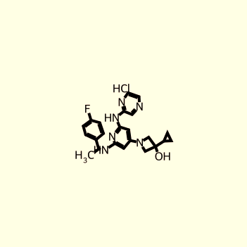 CC(Nc1cc(N2CC(O)(C3CC3)C2)cc(Nc2cnccn2)n1)c1ccc(F)cc1.Cl